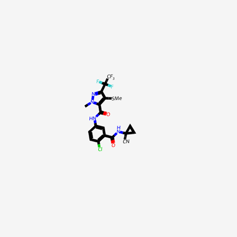 CSc1c(C(F)(F)C(F)(F)F)nn(C)c1C(=O)Nc1ccc(Cl)c(C(=O)NC2(C#N)CC2)c1